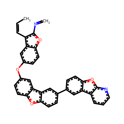 C=Nc1oc2ccc(Oc3ccc4oc5ccc(-c6ccc7oc8ncccc8c7c6)cc5c4c3)cc2c1/C=C\C